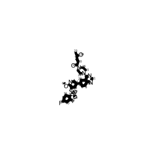 COc1ncc(-c2ccc3ncnc(N4CCN(C(=O)/C=C/C(C)=O)CC4)c3c2)cc1SS(=O)(=O)c1ccc(F)cc1F